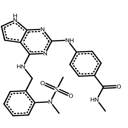 CNC(=O)c1ccc(Nc2nc(NCc3ccccc3N(C)S(C)(=O)=O)c3cc[nH]c3n2)cc1